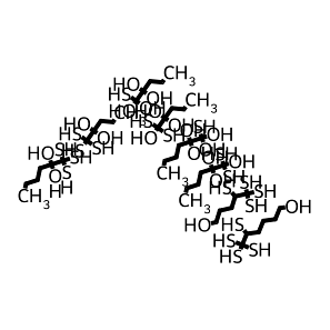 CCCC(O)(O)C(O)(O)S.CCCC(O)(O)C(O)(S)S.CCCC(O)(O)C(S)(S)S.CCCCC(O)(O)C(O)(O)S.CCCCC(O)(O)C(O)(S)S.CCCCC(O)(O)C(S)(S)S.OCCCC(S)C(S)(S)S.OCCCCC(S)C(S)(S)S